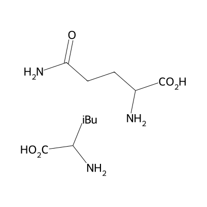 CCC(C)C(N)C(=O)O.NC(=O)CCC(N)C(=O)O